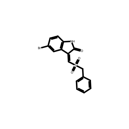 O=C1Nc2ccc(Br)cc2C1=CS(=O)(=O)Cc1ccccc1